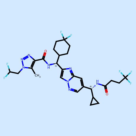 Cc1c(C(=O)N[C@H](c2cn3ncc([C@H](NC(=O)CCC(F)(F)F)C4CC4)cc3n2)C2CCC(F)(F)CC2)nnn1CC(F)F